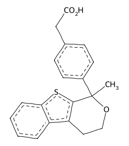 CC1(c2ccc(CC(=O)O)cc2)OCCc2c1sc1ccccc21